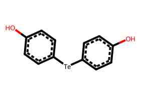 Oc1ccc([Te]c2ccc(O)cc2)cc1